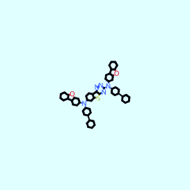 c1ccc(-c2ccc(N(c3ccc4c(c3)oc3ccccc34)c3ccc4c(c3)sc3nc(N(c5ccc(-c6ccccc6)cc5)c5ccc6c(c5)oc5ccccc56)nnc34)cc2)cc1